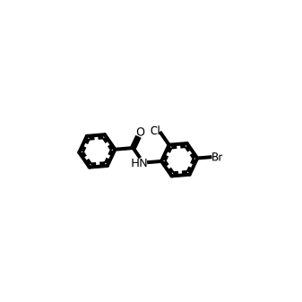 O=C(Nc1ccc(Br)cc1Cl)c1ccccc1